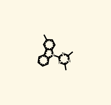 Cc1ccc2c(c1)c1ccccc1n2-c1nc(C)nc(C)n1